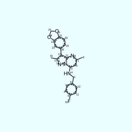 Cc1cc(NCc2ccc(F)cc2)n2nc(C)c(-c3ccc4c(c3)OCO4)c2n1